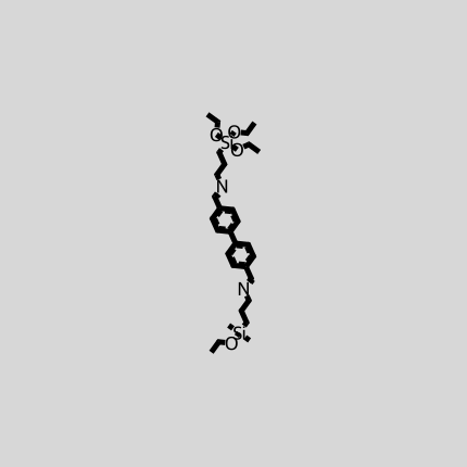 CCO[Si](C)(C)CCC/N=C/c1ccc(-c2ccc(/C=N/CCC[Si](OCC)(OCC)OCC)cc2)cc1